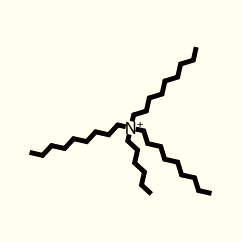 CCCCCCCCC[N+](CCCCCC)(CCCCCCCCC)CCCCCCCCC